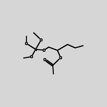 CCCC(CO[Si](OC)(OC)OC)OC(C)=O